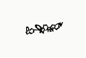 c1cc2[nH]c(-c3ccc4oc(-c5ccc6ccoc6c5)nc4c3)cc2cn1